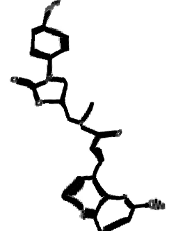 CCCc1ccc(N2CC(CN(C)C(=O)C=Cc3ccnc4ccc(OC)nc34)OC2=O)cc1